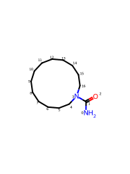 NC(=O)N1CCCCCCCCCCCCC1